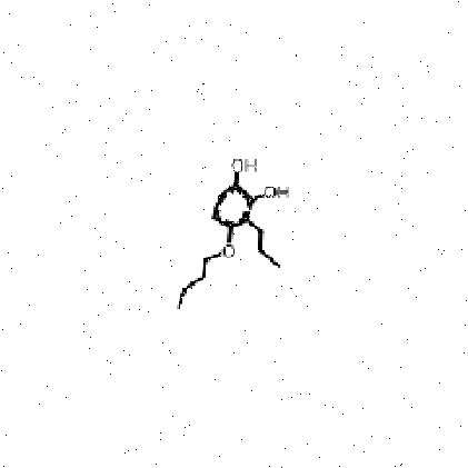 CCCCOc1ccc(O)c(O)c1CCC